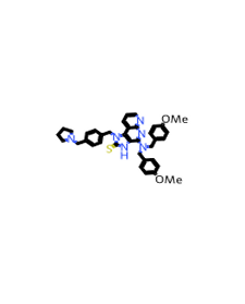 COc1ccc(CN(Cc2ccc(OC)cc2)c2nc3ncccc3c3c2[nH]c(=S)n3Cc2ccc(CN3CCCC3)cc2)cc1